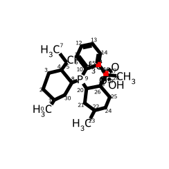 CC1CCC(C(C)C)C(P(c2ccccc2S(=O)(=O)O)C2CC(C)CCC2C(C)C)C1